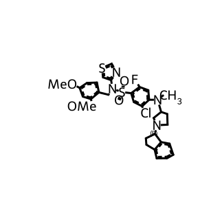 COc1ccc(CN(c2cscn2)S(=O)(=O)c2cc(Cl)c(N(C)C3CCN([C@@H]4CCc5ccccc54)C3)cc2F)c(OC)c1